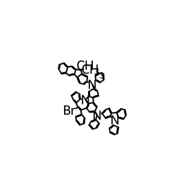 CC1(C)c2cc(N(c3ccccc3)c3ccc4c5cc(N(c6ccccc6)c6ccc7c8ccccc8n(-c8ccccc8)c7c6)cc6c5n(c4c3)-c3ccccc3C(Br)=C6c3ccccc3)ccc2-c2cc3ccccc3cc21